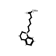 COC(=O)CCCCCN1CCCc2ccccc21